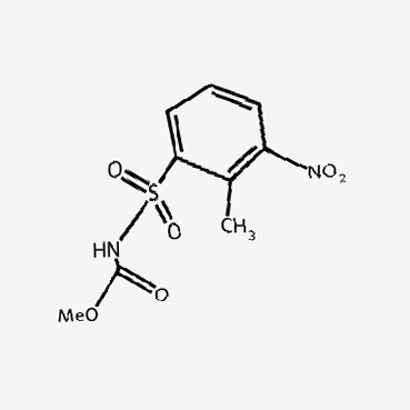 COC(=O)NS(=O)(=O)c1cccc([N+](=O)[O-])c1C